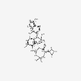 Cc1ccc(C(c2ccc3c(cnn3C)c2C)C(C)(C)C(=O)O)cc1CN1CC(=O)N(C2CCC2)CC(C)(C)C1